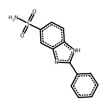 NS(=O)(=O)c1ccc2[nH]c(-c3ccccc3)nc2c1